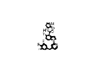 O=C(N[C@@H]1CCNC1=O)c1c(F)ccc2c1CCN2c1cc(Cc2cc(F)c(F)c(F)c2)ccn1